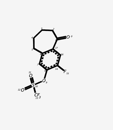 O=C1CCCCc2cc(OS(=O)(=O)C(F)(F)F)c(F)cc21